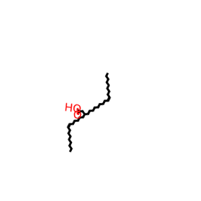 CCCCCCCC/C=C\CCCCCCCCC(CCCCC/C=C\CCCCCCCC)CC(=O)O